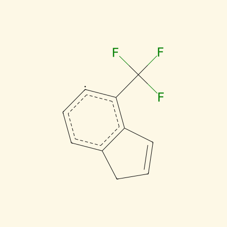 FC(F)(F)c1[c]ccc2c1C=CC2